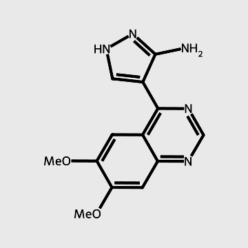 COc1cc2ncnc(-c3c[nH]nc3N)c2cc1OC